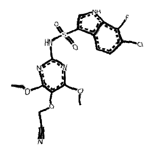 COc1nc(NS(=O)(=O)c2c[nH]c3c(F)c(Cl)ccc23)nc(OC)c1OCC#N